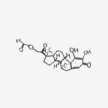 CCC(=O)OCC(=O)[C@@H]1CC[C@H]2[C@@H]3CCC4=CC(=O)C(O)=C(O)[C@]4(C)[C@H]3CC[C@]12C